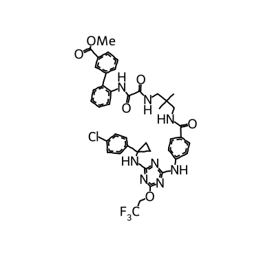 COC(=O)c1cccc(-c2ccccc2NC(=O)C(=O)NCC(C)(C)CNC(=O)c2ccc(Nc3nc(NC4(c5ccc(Cl)cc5)CC4)nc(OCC(F)(F)F)n3)cc2)c1